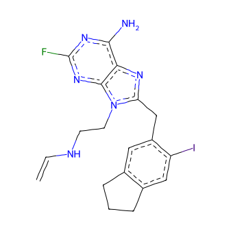 C=CNCCn1c(Cc2cc3c(cc2I)CCC3)nc2c(N)nc(F)nc21